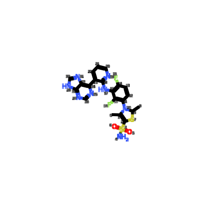 CC1=C(S(N)(=O)=O)SC(C)N1c1ccc(F)c(Nc2ncccc2-c2ncnc3[nH]cnc23)c1F